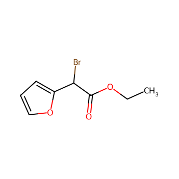 CCOC(=O)C(Br)c1ccco1